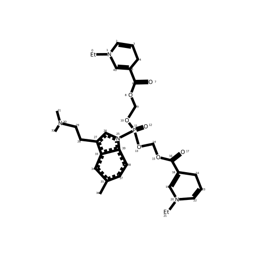 CCN1C=CCC(C(=O)OCOP(=O)(OCOC(=O)C2=CN(CC)C=CC2)n2cc(CCN(C)C)c3cc(C)ccc32)=C1